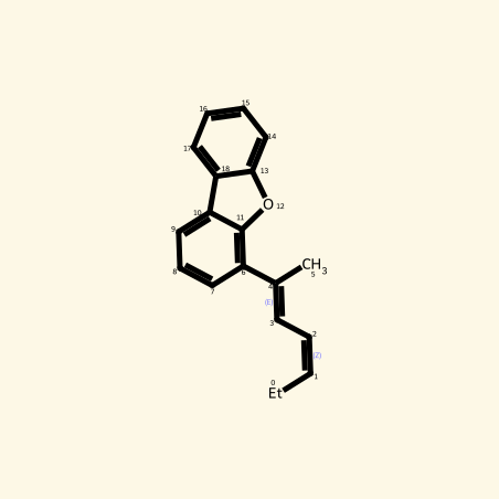 CC/C=C\C=C(/C)c1cccc2c1oc1ccccc12